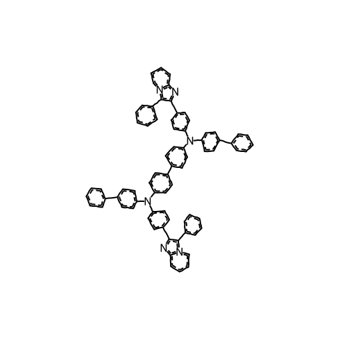 c1ccc(-c2ccc(N(c3ccc(-c4ccc(N(c5ccc(-c6ccccc6)cc5)c5ccc(-c6nc7ccccn7c6-c6ccccc6)cc5)cc4)cc3)c3ccc(-c4nc5ccccn5c4-c4ccccc4)cc3)cc2)cc1